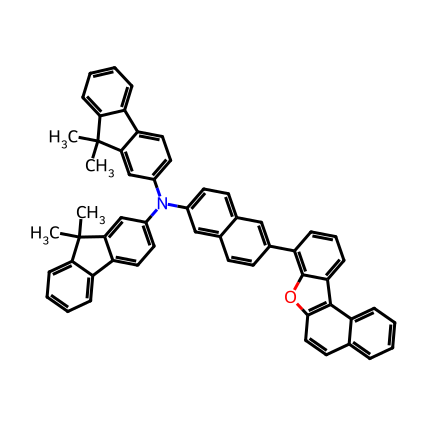 CC1(C)c2ccccc2-c2ccc(N(c3ccc4c(c3)C(C)(C)c3ccccc3-4)c3ccc4cc(-c5cccc6c5oc5ccc7ccccc7c56)ccc4c3)cc21